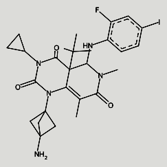 CC1=C2N(C34CC(N)(C3)C4)C(=O)N(C3CC3)C(=O)C2(C(C)(C)C)C(Nc2ccc(I)cc2F)N(C)C1=O